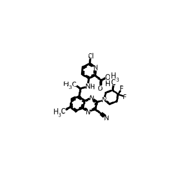 Cc1cc(C(C)Nc2ccc(Cl)nc2C(=O)O)c2nc(N3CCC(F)(F)C(C)C3)c(C#N)nc2c1